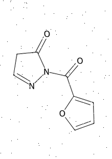 O=C1CC=NN1C(=O)c1ccco1